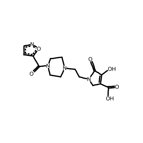 O=C(O)C1=C(O)C(=O)N(CCN2CCN(C(=O)c3ccno3)CC2)C1